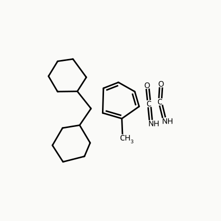 C1CCC(CC2CCCCC2)CC1.Cc1ccccc1.N=C=O.N=C=O